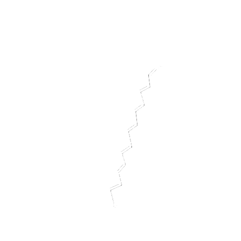 [CH]=CC=CC=CC=CC=CC=CC=CCC